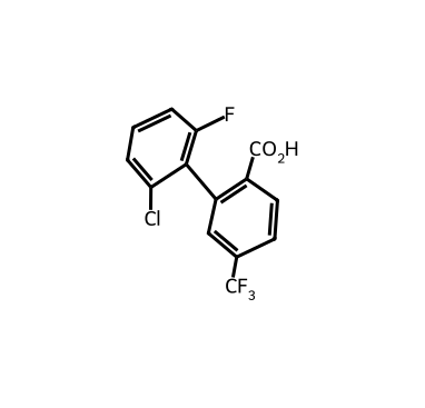 O=C(O)c1ccc(C(F)(F)F)cc1-c1c(F)cccc1Cl